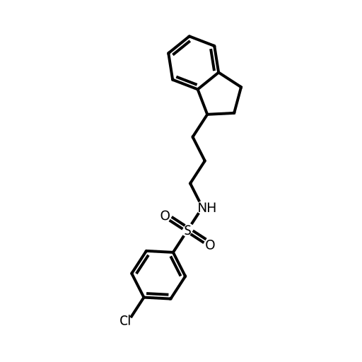 O=S(=O)(NCCCC1CCc2ccccc21)c1ccc(Cl)cc1